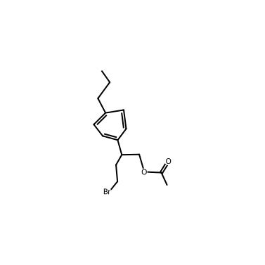 CCCc1ccc(C(CCBr)COC(C)=O)cc1